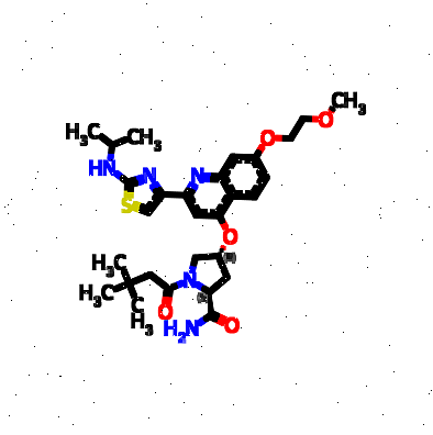 COCCOc1ccc2c(O[C@@H]3C[C@@H](C(N)=O)N(C(=O)CC(C)(C)C)C3)cc(-c3csc(NC(C)C)n3)nc2c1